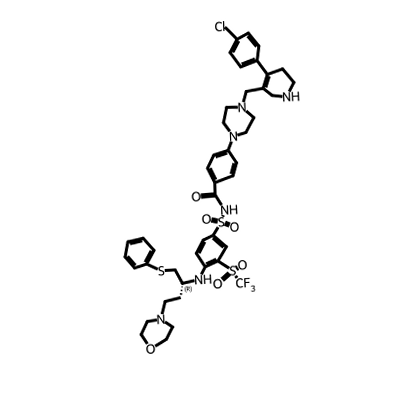 O=C(NS(=O)(=O)c1ccc(N[C@H](CCN2CCOCC2)CSc2ccccc2)c(S(=O)(=O)C(F)(F)F)c1)c1ccc(N2CCN(CC3=C(c4ccc(Cl)cc4)CCNC3)CC2)cc1